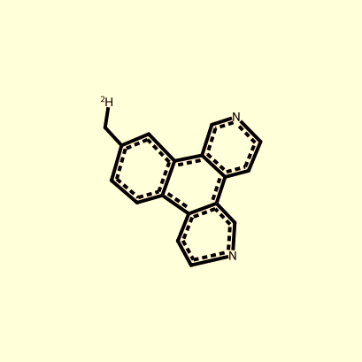 [2H]Cc1ccc2c3ccncc3c3ccncc3c2c1